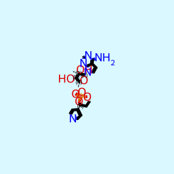 C[C@@]1(O)[C@H](O)[C@@H](COP2(=O)OCC[C@H](c3ccncc3)O2)O[C@H]1n1ccc2c(N)ncnc21